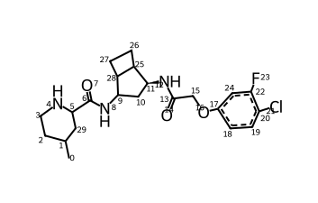 CC1CCNC(C(=O)NC2C[C@H](NC(=O)COc3ccc(Cl)c(F)c3)C3CCC23)C1